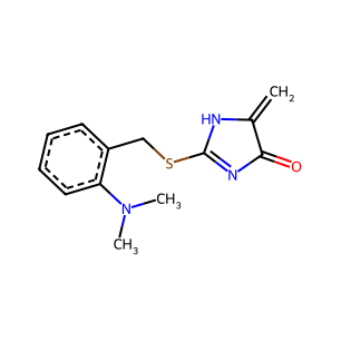 C=C1NC(SCc2ccccc2N(C)C)=NC1=O